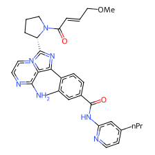 CCCc1ccnc(NC(=O)c2ccc(-c3nc([C@@H]4CCCN4C(=O)C=CCOC)n4ccnc(N)c34)c(C)c2)c1